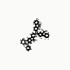 CC1(C)c2ccccc2-c2ccc(N(c3ccc4c(c3)C(C)(C)c3ccccc3-4)c3ccc4c(c3)C(C)(C)c3cc5c(cc3-4)C3CC=CC=C3N5c3ccccc3)cc21